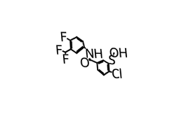 O=C(Nc1ccc(F)c(C(F)F)c1)c1ccc(Cl)c(SO)c1